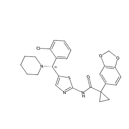 O=C(Nc1ncc([C@@H](c2ccccc2Cl)N2CCCCC2)s1)C1(c2ccc3c(c2)OCO3)CC1